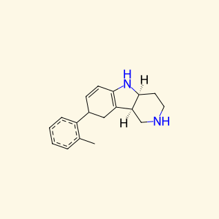 Cc1ccccc1C1C=CC2=C(C1)[C@@H]1CNCC[C@@H]1N2